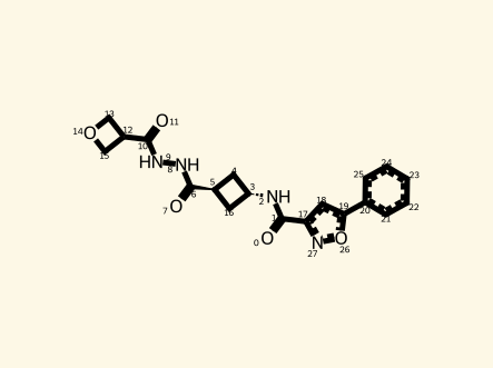 O=C(N[C@H]1C[C@H](C(=O)NNC(=O)C2COC2)C1)c1cc(-c2ccccc2)on1